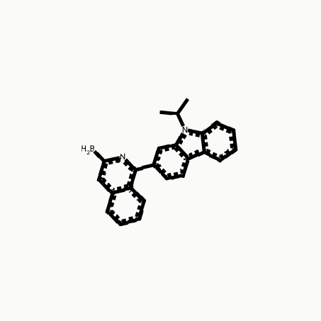 Bc1cc2ccccc2c(-c2ccc3c4ccccc4n(C(C)C)c3c2)n1